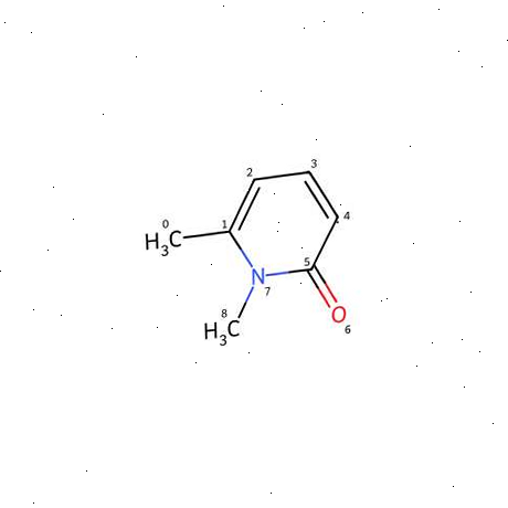 Cc1cc[c]c(=O)n1C